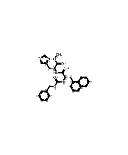 COC(=O)[C@H](Cc1cscn1)NC(=O)[C@H](Cc1cccc2ccccc12)NC(=O)OCc1ccccc1